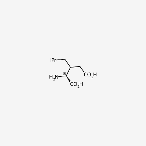 CC(C)CC(CC(=O)O)[C@H](N)C(=O)O